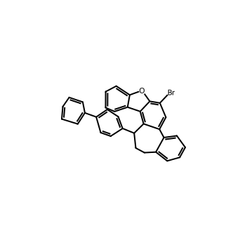 Brc1cc2c(c3c1oc1ccccc13)C(c1ccc(-c3ccccc3)cc1)CCc1ccccc1-2